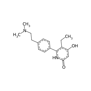 CCc1c(O)cc(=O)[nH]c1-c1ccc(CCN(C)C)cc1